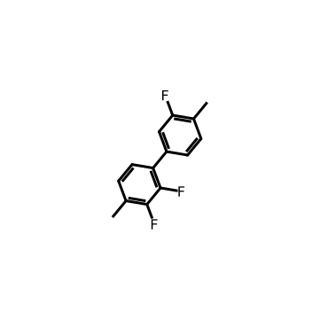 Cc1ccc(-c2ccc(C)c(F)c2F)cc1F